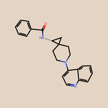 O=C(N[C@@H]1CC12CCN(c1ccnc3ccccc13)CC2)c1ccccc1